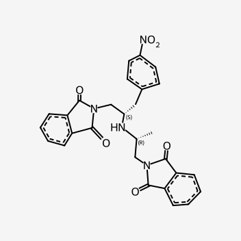 C[C@H](CN1C(=O)c2ccccc2C1=O)N[C@@H](Cc1ccc([N+](=O)[O-])cc1)CN1C(=O)c2ccccc2C1=O